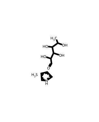 CC(O)C(O)C(O)C(O)C=O.S.c1cc[nH]c1